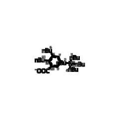 CCCC[N+](CCCC)(CCCC)CCCC.CCCCc1cccc(C(=O)[O-])c1CCCC